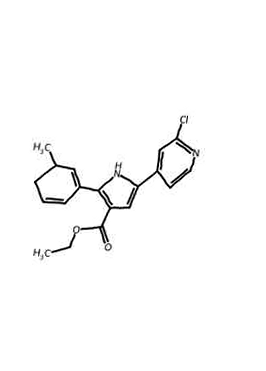 CCOC(=O)c1cc(-c2ccnc(Cl)c2)[nH]c1C1=CC(C)CC=C1